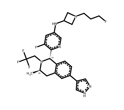 C[C@@H]1Cc2cc(-c3cn[nH]c3)ccc2[C@@H](c2ncc(NC3CN(CCCF)C3)cc2F)N1CC(F)(F)F